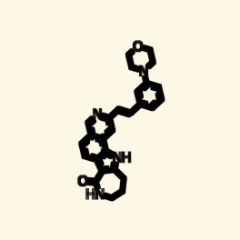 O=C1NCCCc2[nH]c3c(ccc4cnc(C=Cc5cccc(N6CCOCC6)c5)cc43)c21